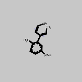 C/C=C(\C=C/C(C)C)c1cc(NC)ccc1C